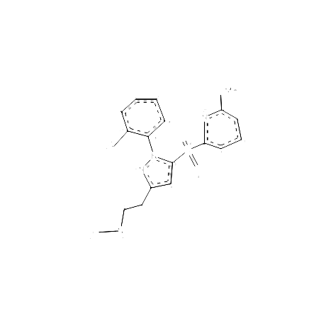 COc1cccc(S(=O)(=O)c2cc(CCNC(=O)O)nn2-c2ccccc2Cl)n1